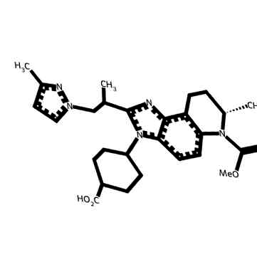 COC(=O)N1c2ccc3c(nc(C(C)Cn4ccc(C)n4)n3C3CCC(C(=O)O)CC3)c2CC[C@@H]1C